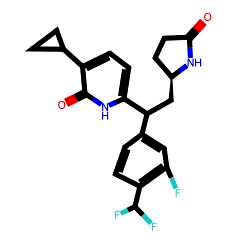 O=C1CC[C@H](CC(c2ccc(C(F)F)c(F)c2)c2ccc(C3CC3)c(=O)[nH]2)N1